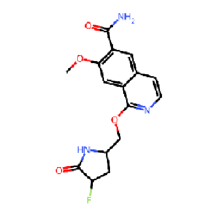 COc1cc2c(OCC3CC(F)C(=O)N3)nccc2cc1C(N)=O